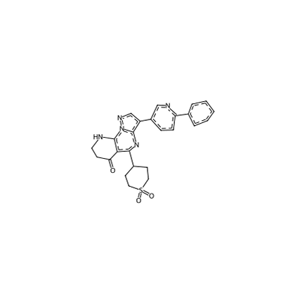 O=C1CCNc2c1c(C1CCS(=O)(=O)CC1)nc1c(-c3ccc(-c4ccccc4)nc3)cnn21